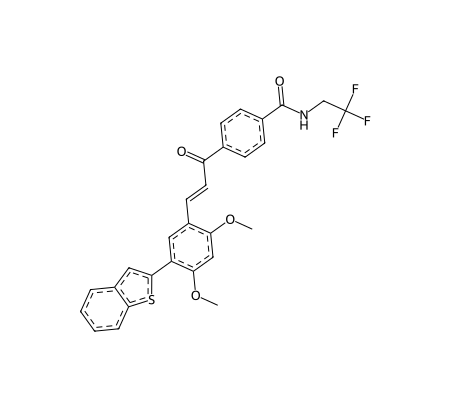 COc1cc(OC)c(-c2cc3ccccc3s2)cc1/C=C/C(=O)c1ccc(C(=O)NCC(F)(F)F)cc1